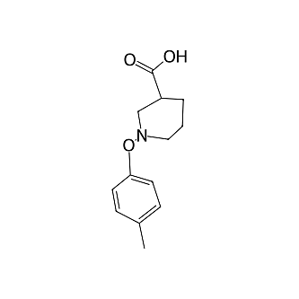 Cc1ccc(ON2CCCC(C(=O)O)C2)cc1